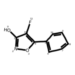 Oc1noc(-c2ccccc2)c1F